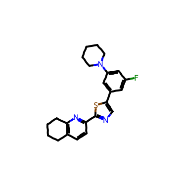 Fc1cc(-c2cnc(-c3ccc4c(n3)CCCC4)s2)cc(N2CCCCC2)c1